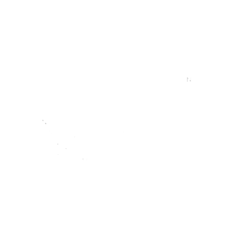 OC1(/C=C/c2ccc(-c3cccnc3)cc2)CN2CCC1CC2